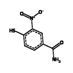 NC(=O)c1ccc(S)c([N+](=O)[O-])c1